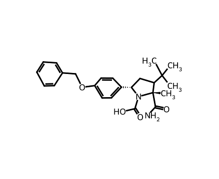 CC(C)(C)C1C[C@@H](c2ccc(OCc3ccccc3)cc2)N(C(=O)O)[C@@]1(C)C(N)=O